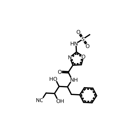 CS(=O)(=O)Nc1nc(C(=O)NC(Cc2ccccc2)C(O)C(O)CC#N)co1